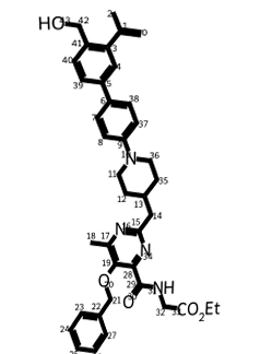 C=C(C)c1cc(-c2ccc(N3CCC(Cc4nc(C)c(OCc5ccccc5)c(C(=O)NCC(=O)OCC)n4)CC3)cc2)ccc1CO